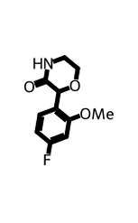 COc1cc(F)ccc1C1OCCNC1=O